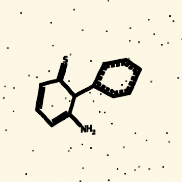 NC1=CC=CC(=S)C1c1ccccc1